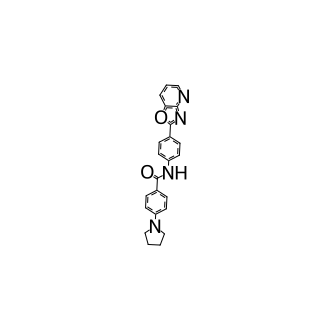 O=C(Nc1ccc(-c2nc3ncccc3o2)cc1)c1ccc(N2CCCC2)cc1